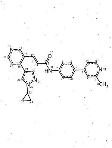 Cc1cc(-c2ccc(NC(=O)/C=C/c3cnccc3-c3cnn(C4CC4)c3)cc2)ccn1